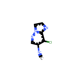 [C-]#[N+]c1cnn2ccnc2c1Cl